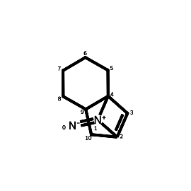 [N-]=[N+]1C2=CC13CCCCC3C2